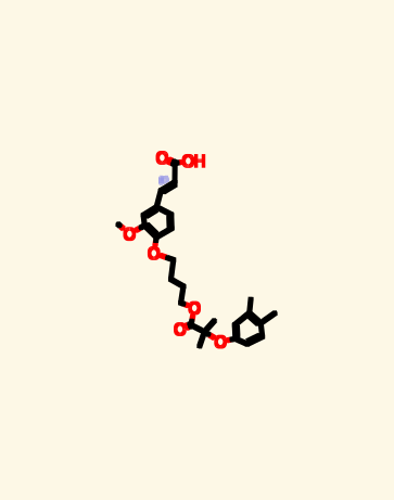 COc1cc(/C=C/C(=O)O)ccc1OCCCCOC(=O)C(C)(C)Oc1ccc(C)c(C)c1